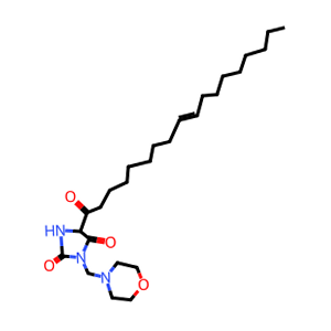 CCCCCCCCC=CCCCCCCCC(=O)C1NC(=O)N(CN2CCOCC2)C1=O